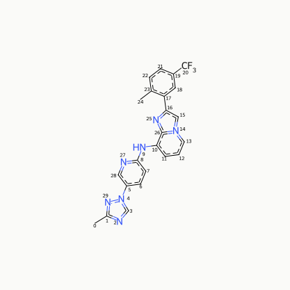 Cc1ncn(-c2ccc(Nc3cccn4cc(-c5cc(C(F)(F)F)ccc5C)nc34)nc2)n1